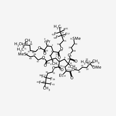 CCCC(CC(CC(C)(CC(CC(C)(CC(CC)C(=O)OCCC[Si](C)(C)OC)C(=O)OCCCSC)C(=O)OCCC(F)(F)C(C)(F)F)C(=O)OCCCSC)C(=O)OCCC(F)(F)C(C)(F)F)C(=O)OCCC[Si](C)(C)C